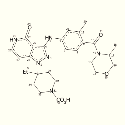 CCC1(n2nc(Nc3ccc(C(=O)N4CCOCC4C)c(C)c3)c3c(=O)[nH]ccc32)CCN(C(=O)O)CC1